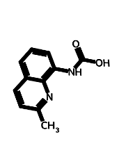 Cc1ccc2cccc(NC(=O)O)c2n1